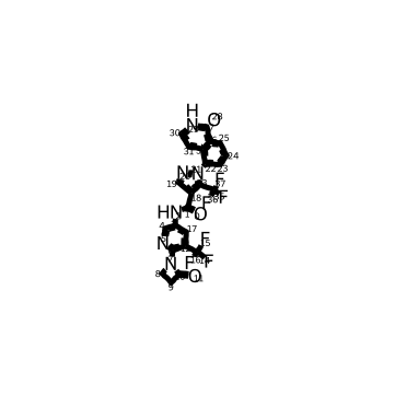 O=C(Nc1cnc(N2CCC2=O)c(C(F)(F)F)c1)c1cnn(-c2cccc3c(=O)[nH]ccc23)c1C(F)(F)F